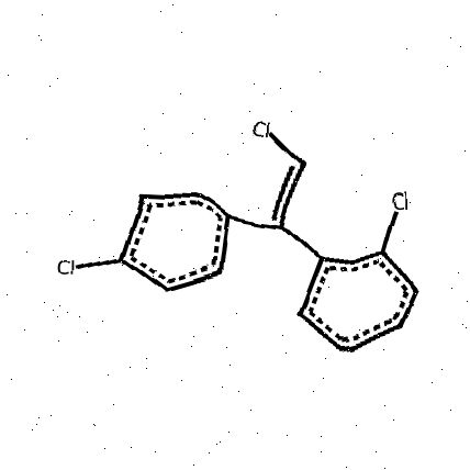 Cl/C=C(\c1ccc(Cl)cc1)c1ccccc1Cl